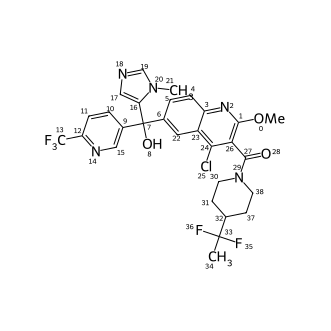 COc1nc2ccc(C(O)(c3ccc(C(F)(F)F)nc3)c3cncn3C)cc2c(Cl)c1C(=O)N1CCC(C(C)(F)F)CC1